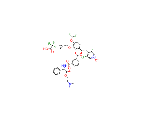 CN(C)CCOC(=O)C(NS(=O)(=O)c1cccc(C(=O)O[C@@H](Cc2c(Cl)c[n+]([O-])cc2Cl)c2ccc(OC(F)F)c(OCC3CC3)c2)c1)c1ccccc1.O=C(O)C(F)(F)F